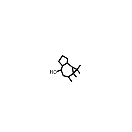 CC1CC(O)C2CCCC2C2C(C)(C)C12C